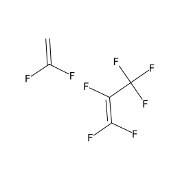 C=C(F)F.FC(F)=C(F)C(F)(F)F